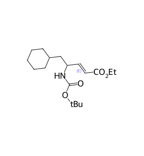 CCOC(=O)/C=C/C(CC1CCCCC1)NC(=O)OC(C)(C)C